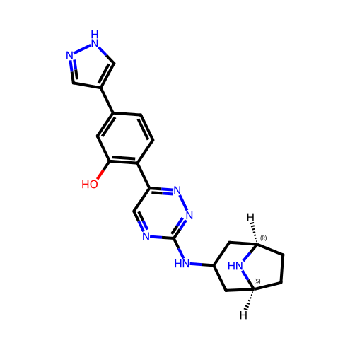 Oc1cc(-c2cn[nH]c2)ccc1-c1cnc(NC2C[C@H]3CC[C@@H](C2)N3)nn1